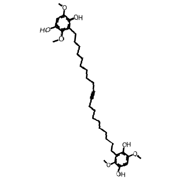 COc1cc(O)c(OC)c(CCCCCCCCCC#CCCCCCCCCCc2c(O)c(OC)cc(O)c2OC)c1O